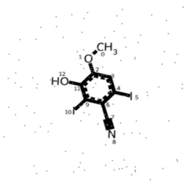 COc1cc(I)c(C#N)c(I)c1O